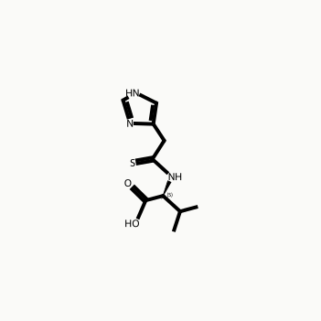 CC(C)[C@H](NC(=S)Cc1c[nH]cn1)C(=O)O